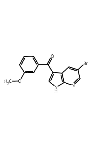 COc1cccc(C(=O)c2c[nH]c3ncc(Br)cc23)c1